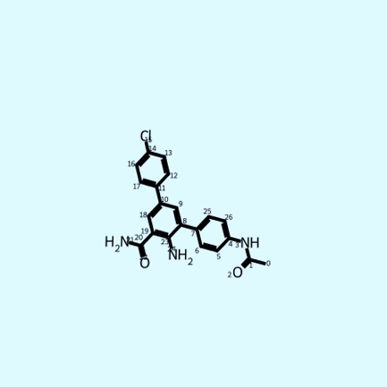 CC(=O)Nc1ccc(-c2cc(-c3ccc(Cl)cc3)cc(C(N)=O)c2N)cc1